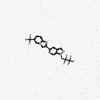 FC(F)(F)c1ccc2nc(-c3cc4cnn(CC(F)(F)C(F)(F)F)c4cn3)cn2c1